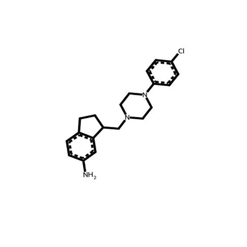 Nc1ccc2c(c1)C(CN1CCN(c3ccc(Cl)cc3)CC1)CC2